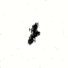 CN1CCc2nc(C(=O)NC(CNC(=O)C(=O)Nc3ccc(Cl)cn3)Cc3cccs3)sc2C1